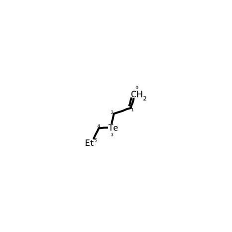 C=CC[Te]CCC